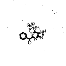 O=C(c1ccccc1)c1nc(NS(=O)(=O)F)c2[nH]cnc2n1